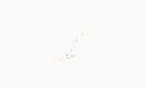 COCCOCCC(=O)NCC1CCC(N2C(=O)CC(SCCO)C2=O)CC1